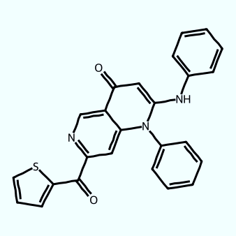 O=C(c1cc2c(cn1)c(=O)cc(Nc1ccccc1)n2-c1ccccc1)c1cccs1